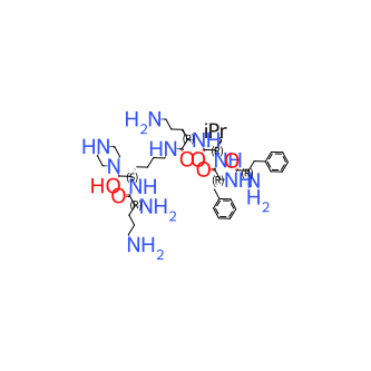 CC(C)C[C@@H](NC(=O)[C@@H](Cc1ccccc1)NC(=O)[C@H](N)Cc1ccccc1)C(=O)N[C@H](CCCN)C(=O)NCCCC[C@H](NC(=O)[C@H](N)CCCN)C(O)N1CCNCC1